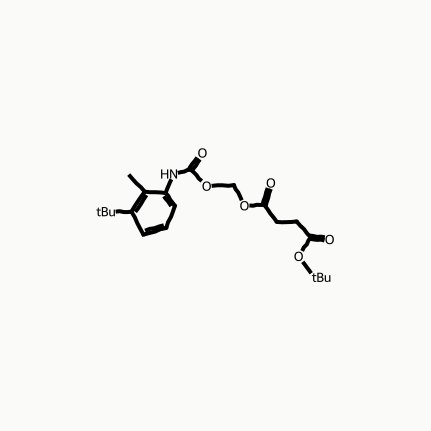 Cc1c(NC(=O)OCOC(=O)CCC(=O)OC(C)(C)C)cccc1C(C)(C)C